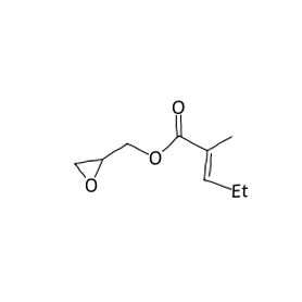 CCC=C(C)C(=O)OCC1CO1